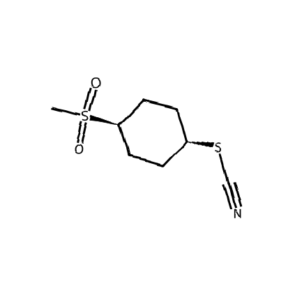 CS(=O)(=O)[C@H]1CC[C@@H](SC#N)CC1